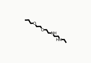 CCCOCCOCCNCCNCC